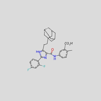 Cc1ccc(NC(=O)c2nc(-c3ccc(F)cc3F)[nH]c2CCC23CC4CC(CC(C4)C2)C3)cc1C(=O)O